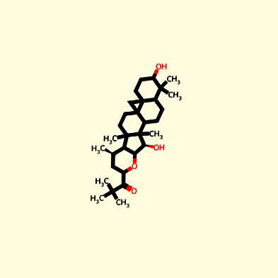 C[C@@H]1CC(C(=O)C(C)(C)C)OC2C1C1(C)CCC34CC35CCC(O)C(C)(C)C5CCC4C1(C)[C@H]2O